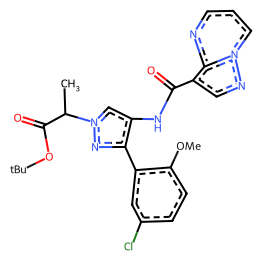 COc1ccc(Cl)cc1-c1nn(C(C)C(=O)OC(C)(C)C)cc1NC(=O)c1cnn2cccnc12